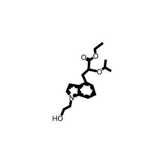 CCOC(=O)C(Cc1cccc2c1ccn2CCO)OC(C)C